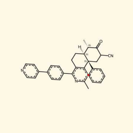 Cc1nc(-c2ccc(-c3ccncc3)cc2)c2c(n1)[C@@]1(c3ccccc3)CC(C#N)C(=O)[C@@H](C)[C@@H]1CC2